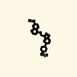 COc1ccc2c(OCc3nnc4ccc(C5=CCN(C(=O)O)CC5)nn34)ccnc2c1